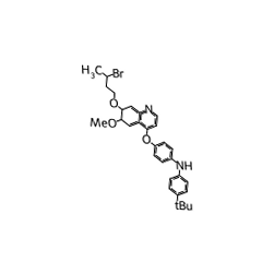 COC1C=c2c(Oc3ccc(Nc4ccc(C(C)(C)C)cc4)cc3)ccnc2=CC1OCCC(C)Br